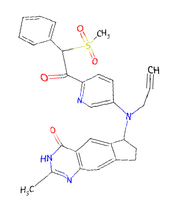 C#CCN(c1ccc(C(=O)C(c2ccccc2)S(C)(=O)=O)nc1)C1CCc2cc3nc(C)[nH]c(=O)c3cc21